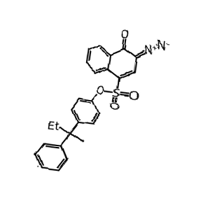 CCC(C)(c1cc[c]cc1)c1ccc(OS(=O)(=O)C2=CC(=[N+]=[N-])C(=O)c3ccccc32)cc1